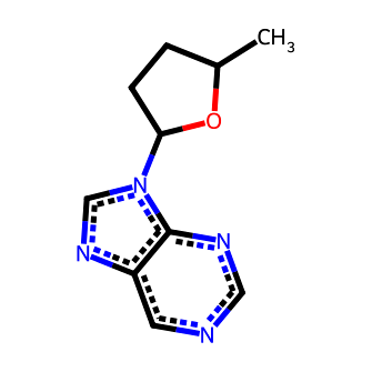 CC1CCC(n2cnc3cncnc32)O1